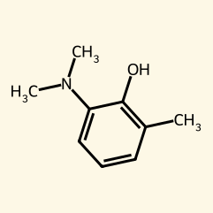 Cc1cccc(N(C)C)c1O